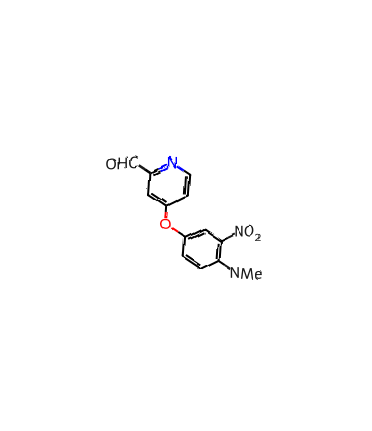 CNc1ccc(Oc2ccnc(C=O)c2)cc1[N+](=O)[O-]